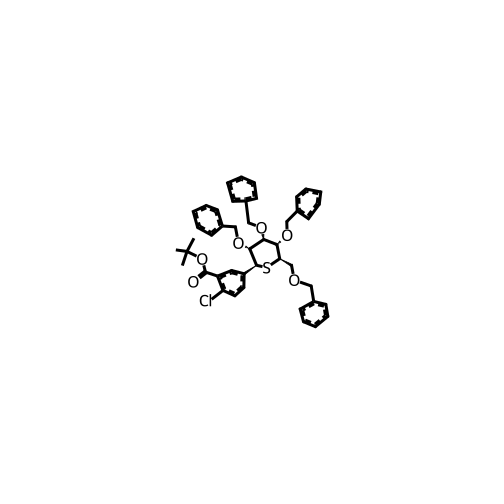 CC(C)(C)OC(=O)c1cc([C@@H]2S[C@H](COCc3ccccc3)[C@@H](OCc3ccccc3)[C@H](OCc3ccccc3)[C@H]2OCc2ccccc2)ccc1Cl